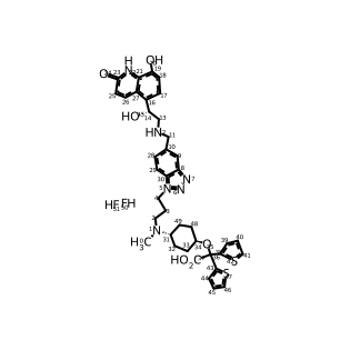 CN(CCCn1nnc2cc(CNC[C@H](O)c3ccc(O)c4[nH]c(=O)ccc34)ccc21)[C@H]1CC[C@H](OC(C(=O)O)(c2cccs2)c2cccs2)CC1.F.F